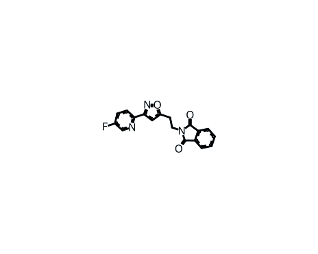 O=C1c2ccccc2C(=O)N1CCc1cc(-c2ccc(F)cn2)no1